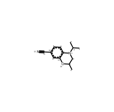 CC1CN(C(C)C)c2ccc(C#N)cc2O1